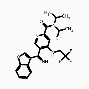 CC(C)N(C(=O)c1cc(NCC(F)(F)F)c(C(=N)c2coc3ccccc23)cn1)C(C)C